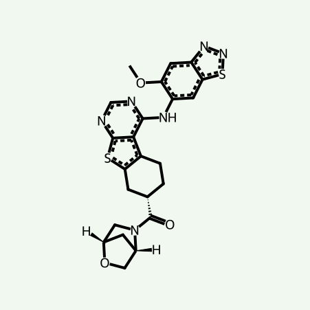 COc1cc2nnsc2cc1Nc1ncnc2sc3c(c12)CC[C@H](C(=O)N1C[C@@H]2C[C@H]1CO2)C3